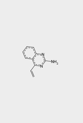 C=Cc1nc(N)nc2ccccc12